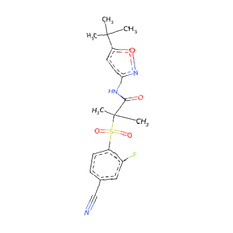 CC(C)(C)c1cc(NC(=O)C(C)(C)S(=O)(=O)c2ccc(C#N)cc2F)no1